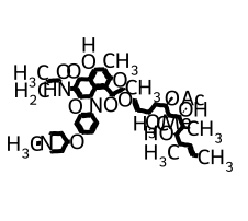 C=C(C)C(=O)Nc1c2oc3cc(OC4CCN(C)CC4)ccc3nc-2c2c3c(c(C)c(O)c2c1=O)O[C@](C)(O/C=C/[C@@H](C[C@@H](OC(C)=O)[C@H](C)[C@H](O)[C@H](C)[C@@H](O)[C@@H](C)/C=C/C)OC)C3=O